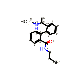 CC(C)CCNC(=O)c1ccccc1-c1ccccc1C(C)NC(=O)O